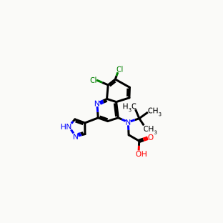 CC(C)(C)N(CC(=O)O)c1cc(-c2cn[nH]c2)nc2c(Cl)c(Cl)ccc12